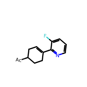 CC(=O)C1CC=C(c2ncccc2F)CC1